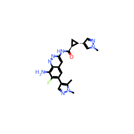 Cc1c(-c2cc3cc(NC(=O)[C@H]4C[C@@H]4c4cnn(C)c4)nnc3c(N)c2F)cnn1C